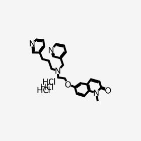 Cl.Cl.Cl.Cn1c(=O)ccc2cc(OCCN(CCCc3cccnc3)Cc3cccnc3)ccc21